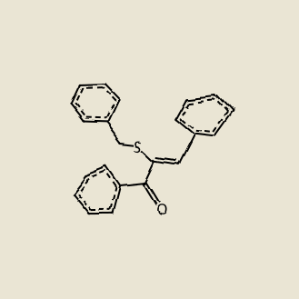 O=C(C(=Cc1ccccc1)SCc1ccccc1)c1ccccc1